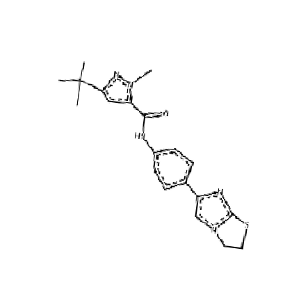 Cn1nc(C(C)(C)C)cc1C(=O)Nc1ccc(-c2cn3c(n2)SCC3)cc1